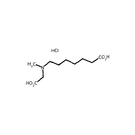 CN(CCCCCCC(=O)O)CC(=O)O.Cl